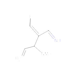 C=CC(NC)/C(C=N)=C/CC